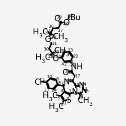 Cc1sc2c(c1C)C(c1ccc(Cl)cc1)=N[C@@H](CC(=O)Nc1cccc(OC(C)(C)CCOC(C)(C)CCC(=O)OC(C)(C)C)c1)c1nnc(C)n1-2